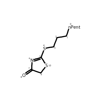 CCCCCCCCSC1=NC(=O)CS1